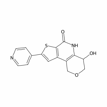 O=c1[nH]c2c(c3cc(-c4ccncc4)sc13)COCC2O